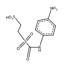 Nc1ccc(NC(=O)S(=O)(=O)CCS(=O)(=O)O)cc1